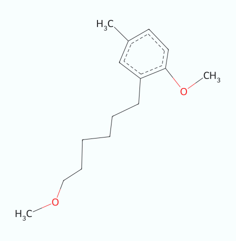 COCCCCCCc1cc(C)ccc1OC